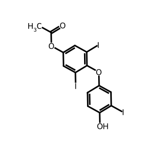 CC(=O)Oc1cc(I)c(Oc2ccc(O)c(I)c2)c(I)c1